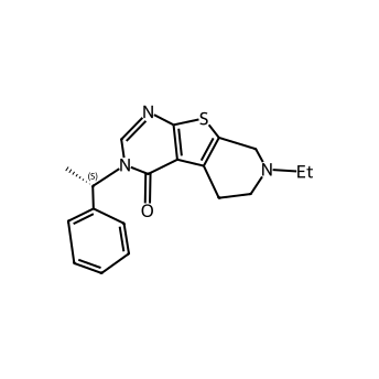 CCN1CCc2c(sc3ncn([C@@H](C)c4ccccc4)c(=O)c23)C1